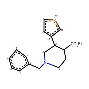 CCOC(=O)C1CCN(Cc2ccccc2)CC1c1ccsc1